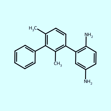 Cc1ccc(-c2cc(N)ccc2N)c(C)c1-c1ccccc1